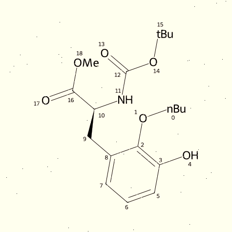 CCCCOc1c(O)cccc1C[C@H](NC(=O)OC(C)(C)C)C(=O)OC